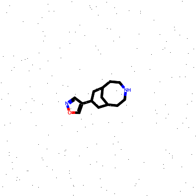 c1nocc1C1CC2CCNCCC(C2)C1